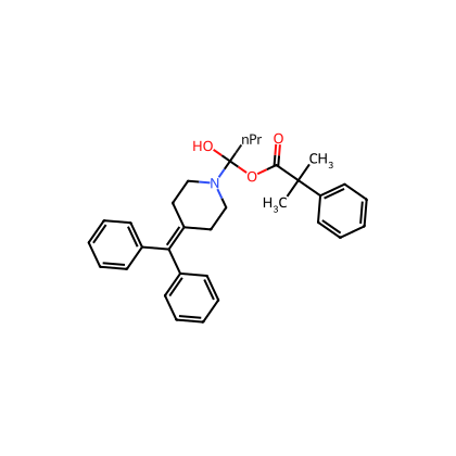 CCCC(O)(OC(=O)C(C)(C)c1ccccc1)N1CCC(=C(c2ccccc2)c2ccccc2)CC1